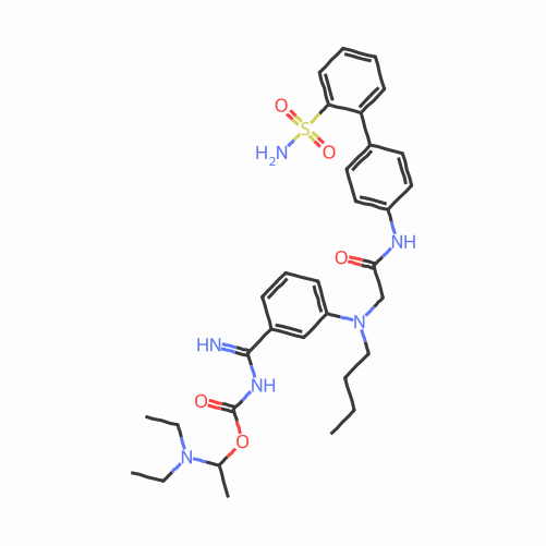 CCCCN(CC(=O)Nc1ccc(-c2ccccc2S(N)(=O)=O)cc1)c1cccc(C(=N)NC(=O)OC(C)N(CC)CC)c1